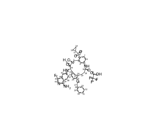 CN1Cc2cc(ccc2S(=O)(=O)C2CC2)NC(=O)CCc2cc(ccc2OCc2ccccc2)[C@@H](Nc2ccc3c(N)ncc(F)c3c2)C1=O.O=C(O)C(F)(F)F